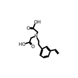 C=Cc1cccc(CCN(CC(=O)O)CC(=O)O)c1